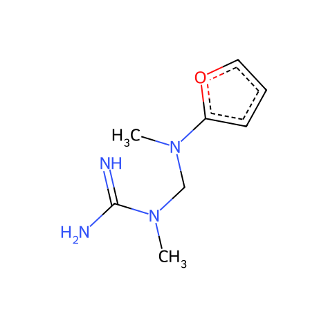 CN(CN(C)c1ccco1)C(=N)N